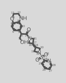 O=C(C(CO)c1ccc2c(c1)NCCO2)N1CC(=C2CN(S(=O)(=O)c3ccccn3)C2)C1